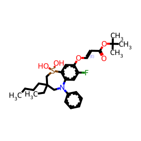 CCCCC1(CC)CN(c2ccccc2)c2cc(F)c(O/C=C/C(=O)OC(C)(C)C)cc2S(O)(O)C1